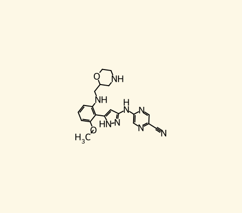 COc1cccc(NCC2CNCCO2)c1-c1cc(Nc2cnc(C#N)cn2)n[nH]1